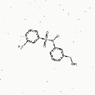 CCN(c1cccc(CO)c1)S(=O)(=O)c1cccc(C(F)(F)F)c1